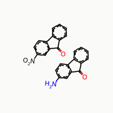 Nc1ccc2c(c1)C(=O)c1ccccc1-2.O=C1c2ccccc2-c2ccc([N+](=O)[O-])cc21